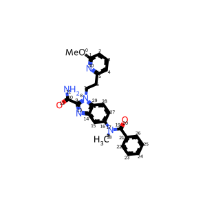 COc1cccc(CCn2c(C(N)=O)nc3cc(N(C)C(=O)c4ccccc4)ccc32)n1